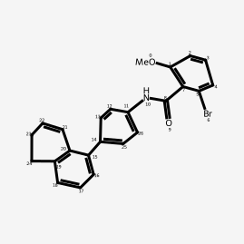 COc1cccc(Br)c1C(=O)Nc1ccc(-c2cccc3c2C=CCC3)cc1